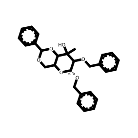 CC1(O)C2OC(c3ccccc3)OCC2O[C@@H](OCc2ccccc2)C1OCc1ccccc1